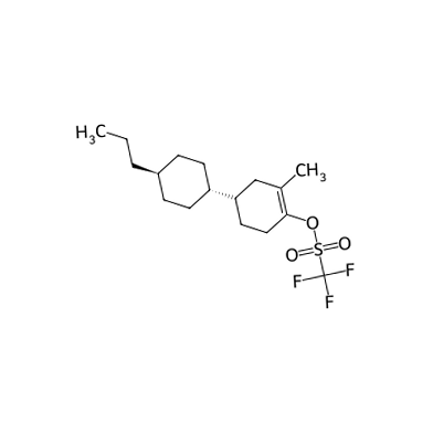 CCC[C@H]1CC[C@H](C2CCC(OS(=O)(=O)C(F)(F)F)=C(C)C2)CC1